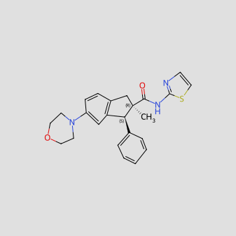 C[C@@]1(C(=O)Nc2nccs2)Cc2ccc(N3CCOCC3)cc2[C@@H]1c1ccccc1